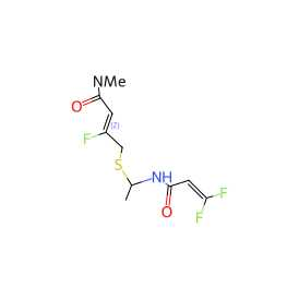 CNC(=O)/C=C(\F)CSC(C)NC(=O)C=C(F)F